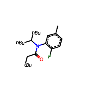 CCCCC(CCCC)N(C(=O)CC(C)(C)C)c1cc(C)ccc1F